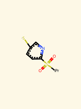 CC(C)S(=O)(=O)c1ccc([S])cn1